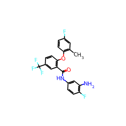 Cc1cc(F)ccc1Oc1ccc(C(F)(F)F)cc1C(=O)Nc1ccc(F)c(N)c1